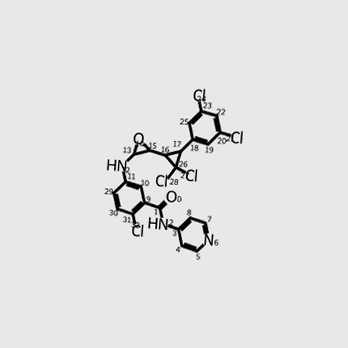 O=C(Nc1ccncc1)c1cc(NC2OC2C2C(c3cc(Cl)cc(Cl)c3)C2(Cl)Cl)ccc1Cl